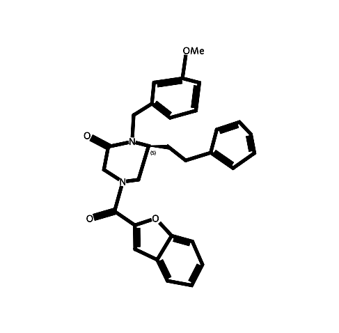 COc1cccc(CN2C(=O)CN(C(=O)c3cc4ccccc4o3)C[C@@H]2CCc2ccccc2)c1